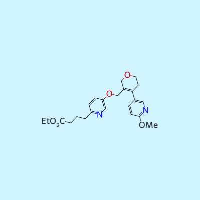 CCOC(=O)CCCc1ccc(OCC2=C(c3ccc(OC)nc3)CCOC2)cn1